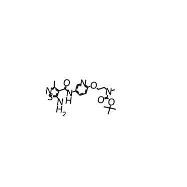 Cc1nsc(N)c1C(=O)Nc1ccc(OCCN(C)C(=O)OC(C)(C)C)nc1